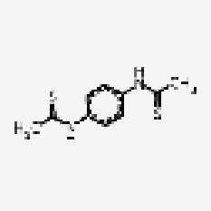 CC(=S)Nc1ccc(NC(C)=S)cc1